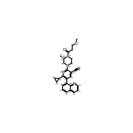 COCCC(=O)N1CCN(c2nc(C3CC3)c(-c3cccc4cccnc34)cc2C#N)C[C@H]1C